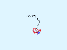 CCCCCCCC/C=C\CCC/C=C\CCCCCC(O)(C[N+](C)(C)C)P(=O)(O)O